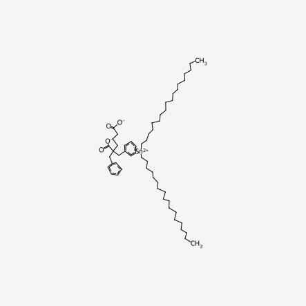 CCCCCCCCCCCCCCCCC[CH2][Sn+2][CH2]CCCCCCCCCCCCCCCCC.O=C([O-])CCCC(Cc1ccccc1)(Cc1ccccc1)C(=O)[O-]